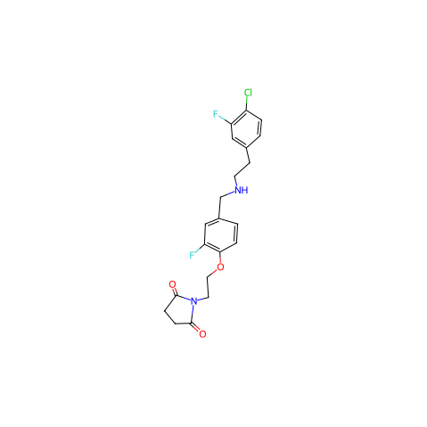 O=C1CCC(=O)N1CCOc1ccc(CNCCc2ccc(Cl)c(F)c2)cc1F